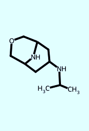 CC(C)NC1CC2COCC(C1)N2